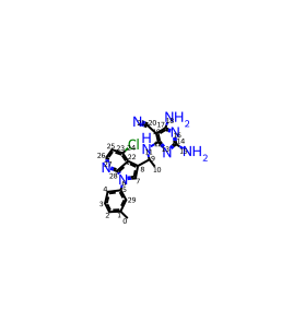 Cc1cccc(-n2cc(C(C)Nc3nc(N)nc(N)c3C#N)c3c(Cl)ccnc32)c1